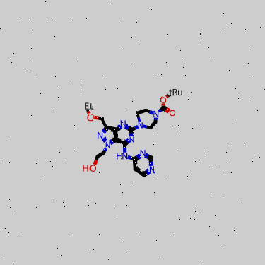 CCOCc1nn(CCO)c2c(Nc3ccncn3)nc(N3CCN(C(=O)OC(C)(C)C)CC3)nc12